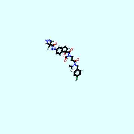 CC(N(Cc1ccc(F)cc1)C(=O)CCN1C(=O)OC2(CCc3cc(NC(=O)C4(C)CNC4)ccc32)C1=O)C(F)(F)F